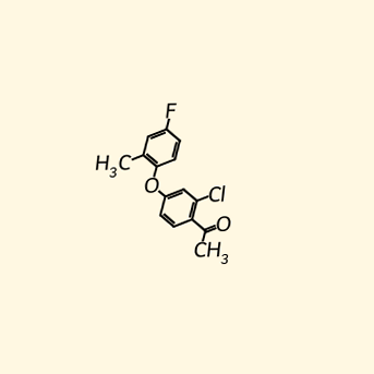 CC(=O)c1ccc(Oc2ccc(F)cc2C)cc1Cl